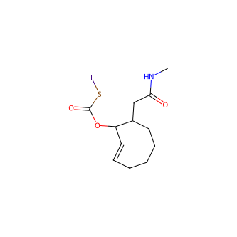 CNC(=O)CC1CCCC/C=C/C1OC(=O)SI